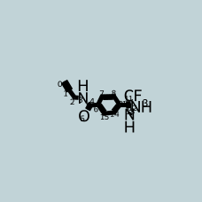 C#CCNC(=O)c1ccc(C2(C(F)(F)F)NN2)cc1